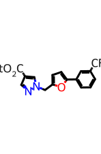 CCOC(=O)c1cnn(Cc2ccc(-c3cccc(C(F)(F)F)c3)o2)c1